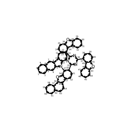 c1ccc2cc3c(cc2c1)c1ccccc1n3-c1c(-c2nc(-c3cccc4oc5ccccc5c34)nc(-c3cccc4oc5ccccc5c34)n2)ccc2c1oc1c3ccccc3ccc21